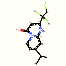 CC(C)c1ccn2c(=O)cc(C(F)(F)CF)nc2c1